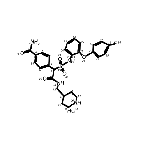 Cl.NC(=O)c1ccc(C(C(=O)NCC2CCNCC2)S(=O)(=O)Nc2ccccc2Oc2ccc(F)cc2)cc1